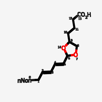 CCCCCCCCCC/C=C/C=C/C1OCC(CCCC(=O)O)O1